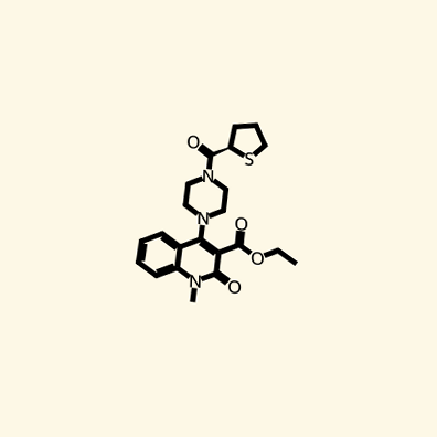 CCOC(=O)c1c(N2CCN(C(=O)[C@H]3CCCS3)CC2)c2ccccc2n(C)c1=O